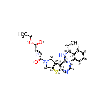 CCOC(=O)/C=C/C(=O)N1Cc2sc3ncnc(N[C@H](CC)c4ccccc4)c3c2C1